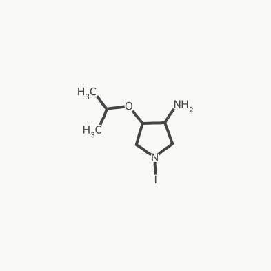 CC(C)OC1CN(I)CC1N